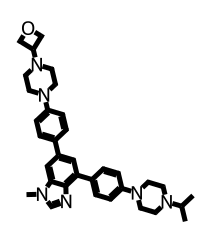 CC(C)N1CCN(c2ccc(-c3cc(-c4ccc(N5CCN(C6COC6)CC5)cc4)cc4c3ncn4C)cc2)CC1